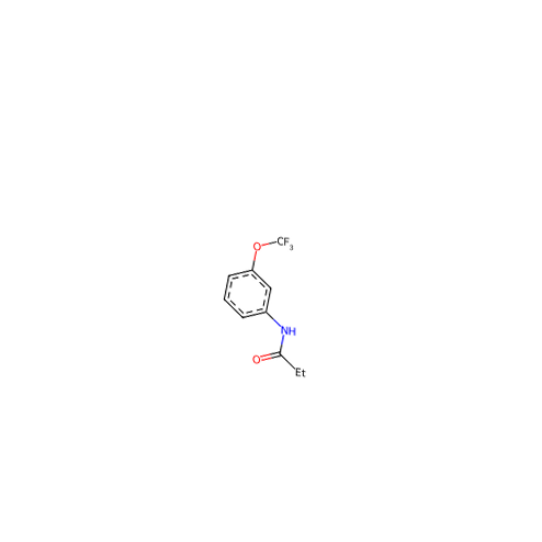 CCC(=O)Nc1cccc(OC(F)(F)F)c1